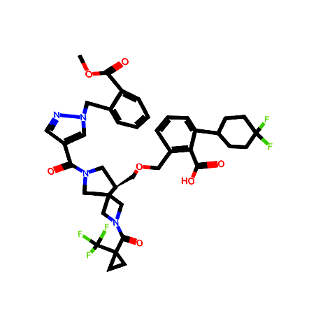 COC(=O)c1ccccc1Cn1cc(C(=O)N2C[C@@H](COCc3cccc(C4CCC(F)(F)CC4)c3C(=O)O)C3(C2)CN(C(=O)C2(C(F)(F)F)CC2)C3)cn1